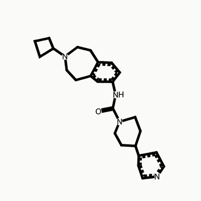 O=C(Nc1ccc2c(c1)CCN(C1CCC1)CC2)N1CCC(c2ccncc2)CC1